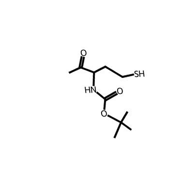 CC(=O)C(CCS)NC(=O)OC(C)(C)C